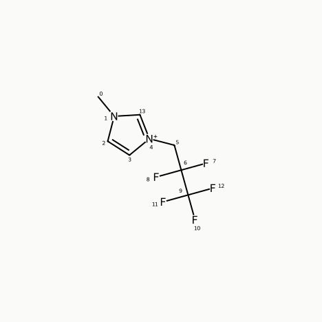 Cn1cc[n+](CC(F)(F)C(F)(F)F)c1